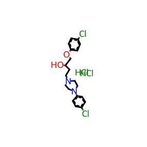 Cl.Cl.OC(CCN1CCN(c2ccc(Cl)cc2)CC1)COc1ccc(Cl)cc1